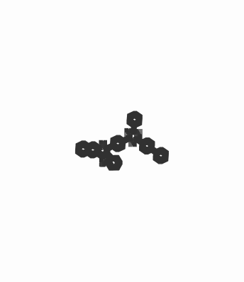 c1ccc(-c2ccc(-c3nc(-c4ccccc4)nc(-c4ccc(-c5nc6cc7ccccc7cc6c6sc7ccccc7c56)cc4)n3)cc2)cc1